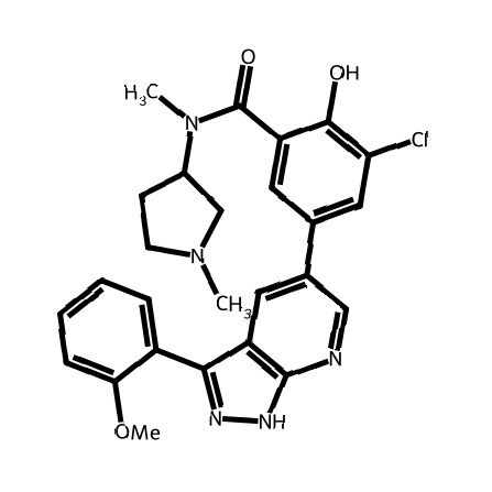 COc1ccccc1-c1n[nH]c2ncc(-c3cc(Cl)c(O)c(C(=O)N(C)C4CCN(C)C4)c3)cc12